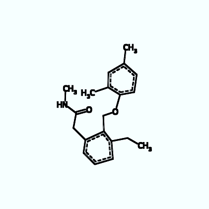 CCc1cccc(CC(=O)NC)c1COc1ccc(C)cc1C